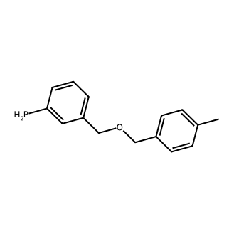 Cc1ccc(COCc2cccc(P)c2)cc1